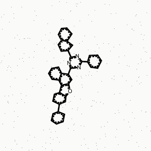 c1ccc(-c2ccc3c(c2)oc2cc(-c4nc(-c5ccccc5)nc(-c5ccc6ccccc6c5)n4)c4ccccc4c23)cc1